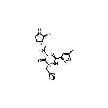 Cc1cc(C(=O)N[C@@H](CC23CC(C2)C3)C(=O)NNC[C@@H]2CCNC2=O)no1